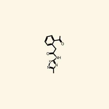 CC(=O)c1ccccc1CC(=O)Nc1nc(C)ns1